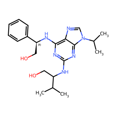 CC(C)C(CO)Nc1nc(N[C@@H](CO)c2ccccc2)c2ncn(C(C)C)c2n1